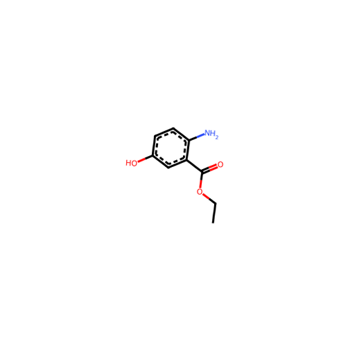 CCOC(=O)c1cc(O)ccc1N